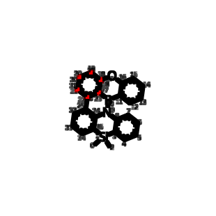 C[Si]1(C)c2ccccc2N(B2c3ccccc3Oc3ccccc32)c2c(-c3ccccc3)cccc21